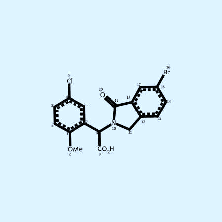 COc1ccc(Cl)cc1C(C(=O)O)N1Cc2ccc(Br)cc2C1=O